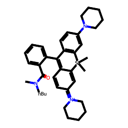 CCCCN(C)C(=O)c1ccccc1C1=C2C=CC(=[N+]3CCCCC3)C=C2[Si](C)(C)c2cc(N3CCCCC3)ccc21